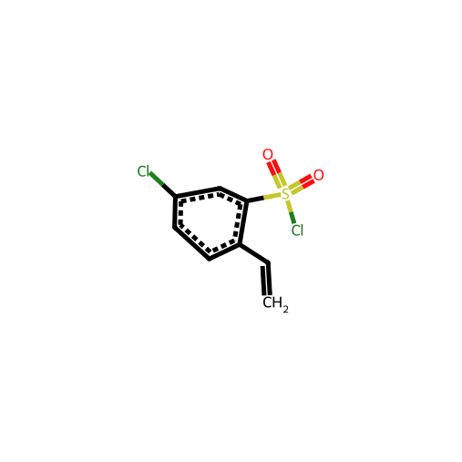 C=Cc1ccc(Cl)cc1S(=O)(=O)Cl